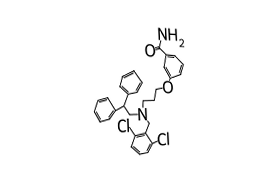 NC(=O)c1cccc(OCCCN(Cc2c(Cl)cccc2Cl)CC(c2ccccc2)c2ccccc2)c1